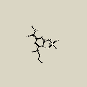 CCCN(C)c1cc(C(=O)OC)cc(NS(C)(=O)=O)n1